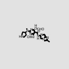 COc1nc(N(C)C2CCNCC2)ncc1C(=O)Nc1cn2cc(C)nc2cn1.O=CO